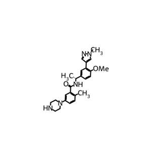 COc1ccc([C@@H](C)NC(=O)c2cc(N3CCNCC3)ccc2C)cc1-c1cnn(C)c1